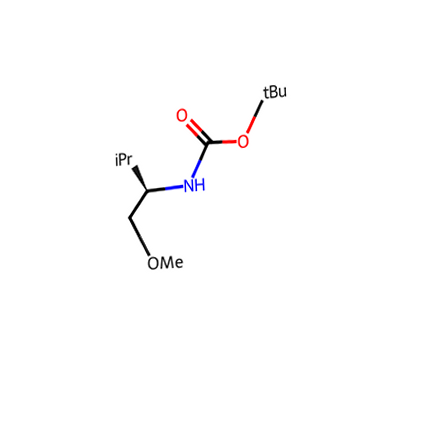 COC[C@H](NC(=O)OC(C)(C)C)C(C)C